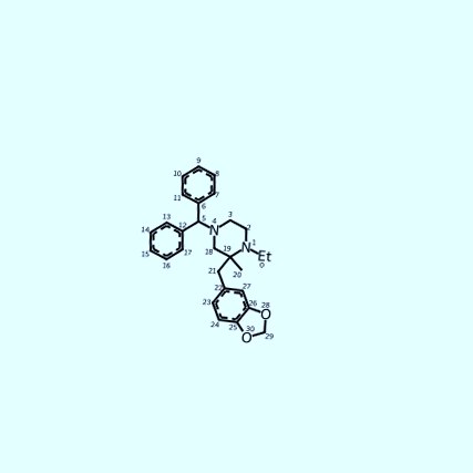 CCN1CCN(C(c2ccccc2)c2ccccc2)CC1(C)Cc1ccc2c(c1)OCO2